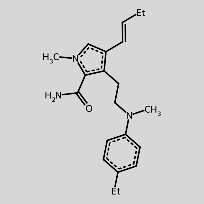 CC/C=C/c1cn(C)c(C(N)=O)c1CCN(C)c1ccc(CC)cc1